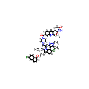 Cc1nc2cc(C(=O)N3CCN(CCn4c(C(=O)O)c(CCCOc5cccc6cc(F)ccc56)c5ccc(Cl)c(-c6c(C)nn(C)c6C)c54)CC3)ccc2cc1C1CCC(=O)NC1=O